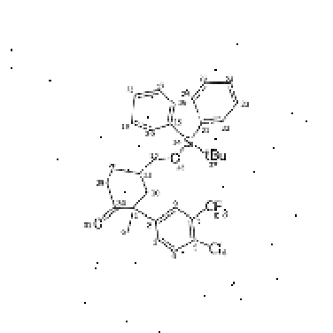 CC1(c2ccc(Cl)c(C(F)(F)F)c2)CC(CO[Si](c2ccccc2)(c2ccccc2)C(C)(C)C)CCC1=O